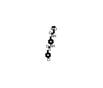 O=C(Cc1ncco1)NCc1ccc(NC(=O)OCc2ccc(Cl)cc2)cc1